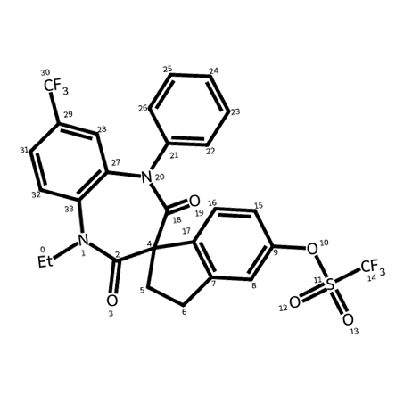 CCN1C(=O)C2(CCc3cc(OS(=O)(=O)C(F)(F)F)ccc32)C(=O)N(c2ccccc2)c2cc(C(F)(F)F)ccc21